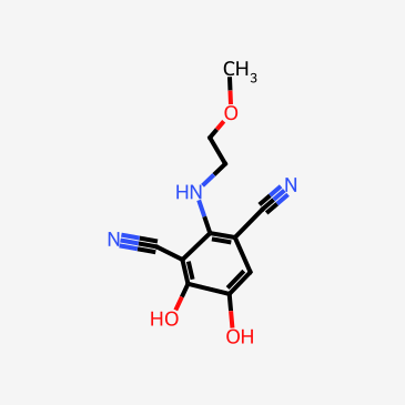 COCCNc1c(C#N)cc(O)c(O)c1C#N